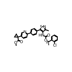 COC(=O)C1(c2ccc(-c3ccc(-c4snc(C)c4NC(=O)O[C@H](C)c4ccccc4Cl)cc3)nc2)CC1